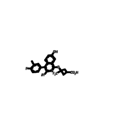 Cc1cc(-c2c(C(C)C)nc(OC3(C(F)(F)F)CC(C(=O)O)C3)c3cc(O)ccc23)ccc1F